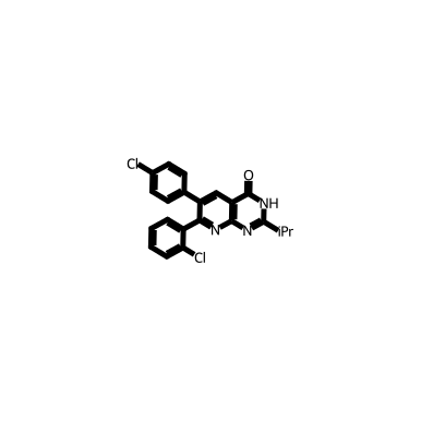 CC(C)c1nc2nc(-c3ccccc3Cl)c(-c3ccc(Cl)cc3)cc2c(=O)[nH]1